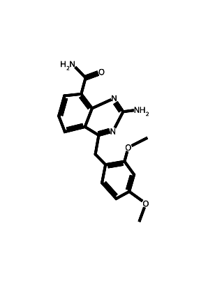 COc1ccc(Cc2nc(N)nc3c(C(N)=O)cccc23)c(OC)c1